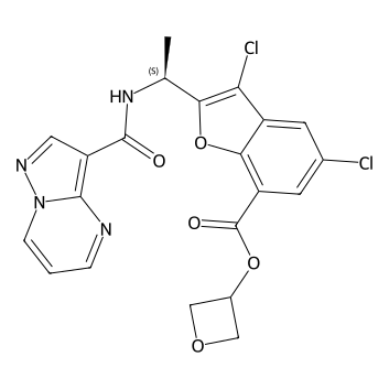 C[C@H](NC(=O)c1cnn2cccnc12)c1oc2c(C(=O)OC3COC3)cc(Cl)cc2c1Cl